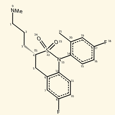 CNCCC[C@H]1Cc2cc(F)ccc2N(c2ccc(F)cc2C)S1(=O)=O